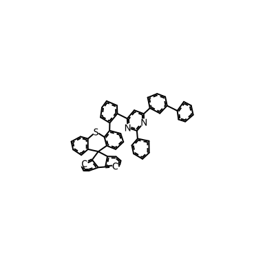 c1ccc(-c2cccc(-c3cc(-c4ccccc4-c4cccc5c4Sc4ccccc4C54c5ccccc5-c5ccccc54)nc(-c4ccccc4)n3)c2)cc1